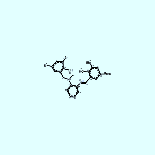 CN(Cc1cc(Br)cc(Br)c1O)c1ccccc1/N=C/c1cc(C(C)(C)C)cc(C(C)(C)C)c1O